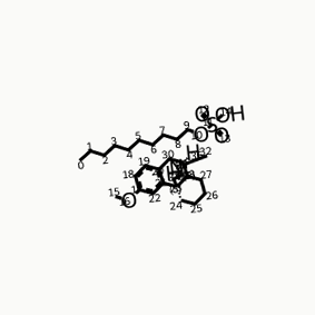 CCCCCCCCCCOS(=O)(=O)O.COc1ccc2c(c1)[C@]13CCCC[C@@H]1[C@H](C2)N(C)CC3